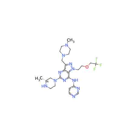 C[C@@H]1CN(c2nc(Nc3ccncn3)c3c(n2)c(CN2CCN(C)CC2)nn3CCOCC(F)(F)F)CCN1